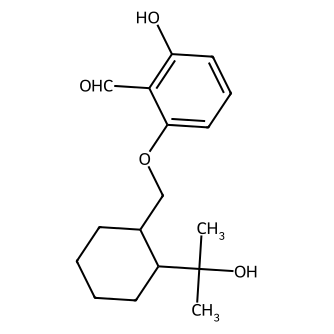 CC(C)(O)C1CCCCC1COc1cccc(O)c1C=O